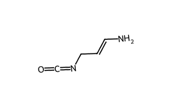 NC=CCN=C=O